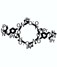 CC(C)Cc1ncnn1Cc1ccc(C[C@H]2OC(=O)[C@H](CC(C)C)N(C)C(=O)[C@@H](C)OC(=O)[C@H](CC(C)C)N(C)C(=O)[C@@H](Cc3ccc(Cn4ncnc4CC(C)C)cc3)OC(=O)[C@H](CC(C)C)N(C)C(=O)[C@@H](C)OC(=O)[C@H](CC(C)C)N(C)C2=O)cc1